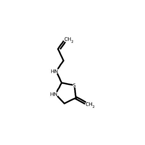 C=CCNC1NCC(=C)S1